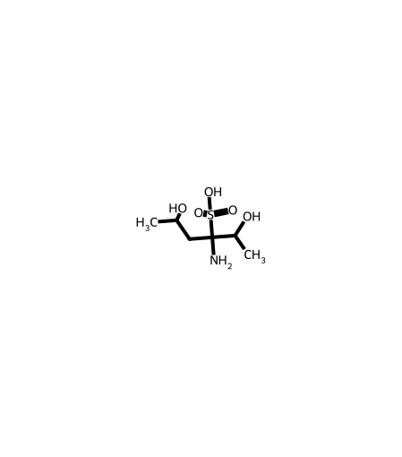 CC(O)CC(N)(C(C)O)S(=O)(=O)O